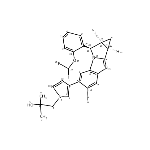 CC(C)(O)Cn1cc(-c2cc3c(cc2F)nc2n3[C@@H](c3ccccc3OC(F)F)[C@H]3C[C@@H]23)cn1